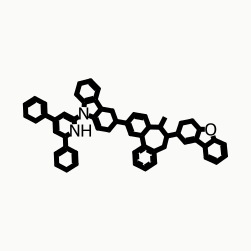 CC1C2C=CC(C3CC=C4C(C3)C3=C(CCC=C3)N4C3=CC(C4=CC=CCC4)=CC(C4=CCCC=C4)N3)=CC2c2ccccc2CC1C1C=C2C(CC1)OC1C=CC=CC21